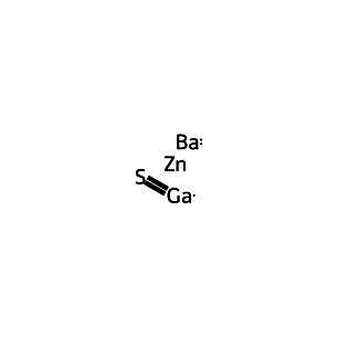 [Ba].[S]=[Ga].[Zn]